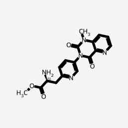 COC(=O)[C@@H](N)Cc1ccc(-n2c(=O)c3ncccc3n(C)c2=O)cn1